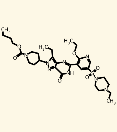 CCCCOC(=O)N1CCC(n2nc3c(=O)[nH]c(-c4cc(S(=O)(=O)N5CCN(CC)CC5)cnc4OCC)nc3c2CC)CC1